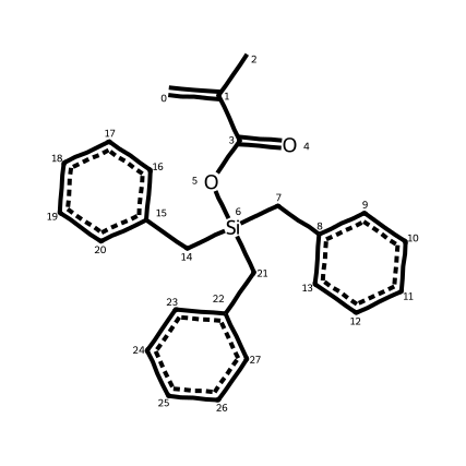 C=C(C)C(=O)O[Si](Cc1ccccc1)(Cc1ccccc1)Cc1ccccc1